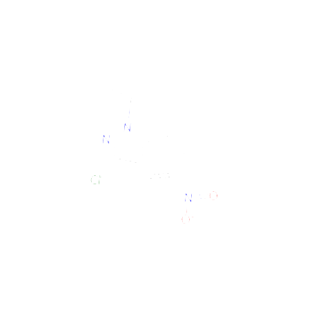 CCn1nc(Cl)c2cc([N+](=O)[O-])ccc21